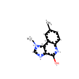 Cc1ccc2nc(O)c3ncn(C)c3c2c1